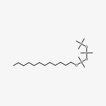 CCCCCCCCCCCCO[Si](C)(C)O[Si](C)(C)O[Si](C)(C)C